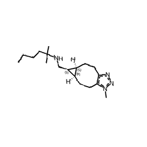 CCCCC(C)(C)NC[C@@H]1[C@@H]2CCc3c(nnn3C)CC[C@@H]21